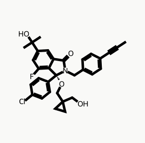 CC#Cc1ccc(CN2C(=O)c3cc(C(C)(C)O)cc(F)c3[C@]2(OCC2(CO)CC2)c2ccc(Cl)cc2)cc1